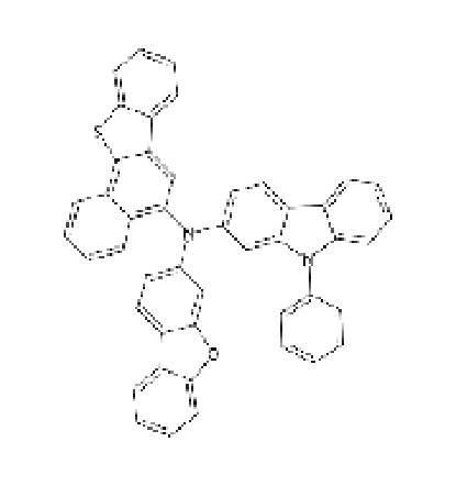 c1ccc(-n2c3ccccc3c3ccc(N(c4ccc5c(c4)oc4ccccc45)c4cc5c6ccccc6sc5c5ccccc45)cc32)cc1